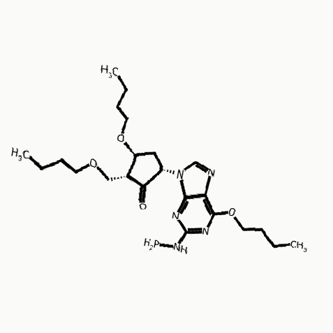 CCCCOC[C@H]1C(=O)[C@@H](n2cnc3c(OCCCC)nc(NP)nc32)C[C@@H]1OCCCC